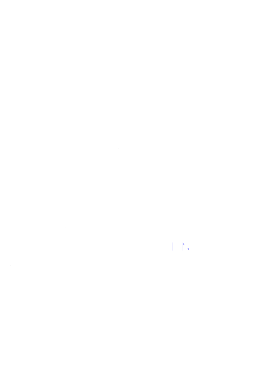 C1=CC2=CC=CC2=C1.C1=CC=C(c2ccc3ccccc3c2)NC=C1